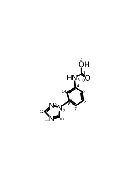 O=C(O)Nc1cccc(-n2cncn2)c1